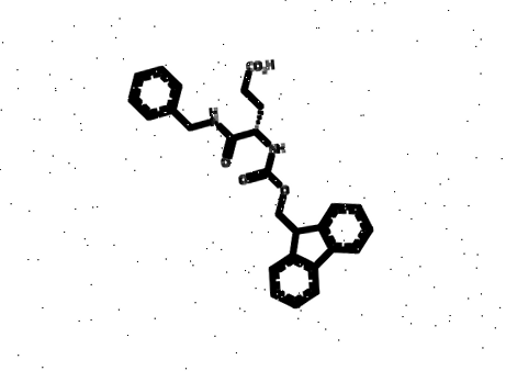 O=C(O)CC[C@H](NC(=O)OCC1c2ccccc2-c2ccccc21)C(=O)NCc1ccccc1